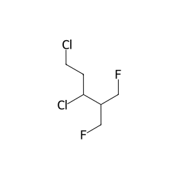 FCC(CF)C(Cl)CCCl